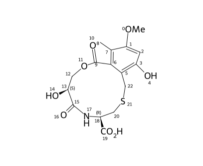 COc1cc(O)c2c(c1C)C(=O)OC[C@H](O)C(=O)N[C@H](C(=O)O)CSC2